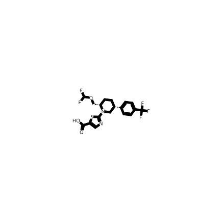 O=C(O)c1cnc(N2C[C@@H](c3ccc(C(F)(F)F)cc3)CC[C@H]2COC(F)F)s1